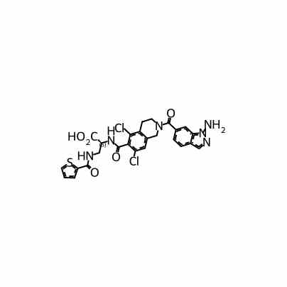 Nn1ncc2ccc(C(=O)N3CCc4c(cc(Cl)c(C(=O)N[C@@H](CNC(=O)c5cccs5)C(=O)O)c4Cl)C3)cc21